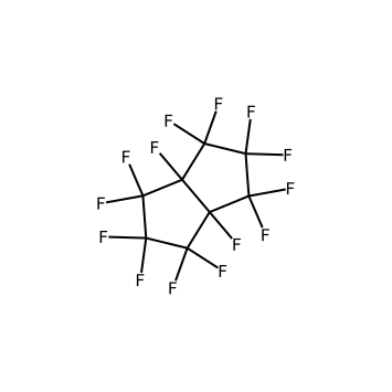 FC1(F)C(F)(F)C2(F)C(F)(F)C(F)(F)C(F)(F)C2(F)C1(F)F